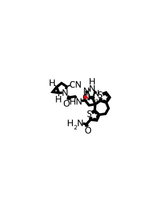 C[C@@H](CC1(c2nn[nH]n2)c2sccc2CCc2cc(C(N)=O)sc21)NCC(=O)N1[C@H](C#N)C[C@@H]2C[C@@H]21